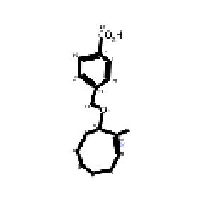 C/C1=C/CCCCCC1OCc1ccc(C(=O)O)cc1